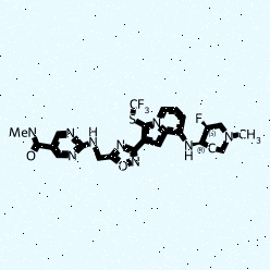 CNC(=O)c1cnc(NCc2nc(-c3cc4c(N[C@@H]5CCN(C)C[C@@H]5F)cccn4c3SC(F)(F)F)no2)nc1